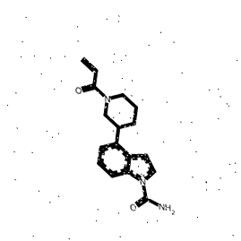 C=CC(=O)N1CCCC(c2cccc3c2ccn3C(N)=O)C1